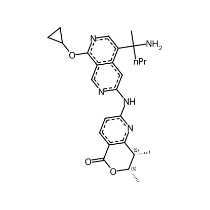 CCCC(C)(N)c1cnc(OC2CC2)c2cnc(Nc3ccc4c(n3)[C@H](C)[C@H](C)OC4=O)cc12